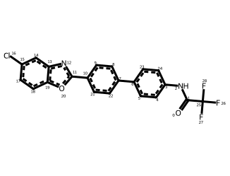 O=C(Nc1ccc(-c2ccc(-c3nc4cc(Cl)ccc4o3)cc2)cc1)C(F)(F)F